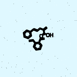 C=C(CC=Cc1ccccc1)C(=O)O.C=Cc1ccccc1C=C